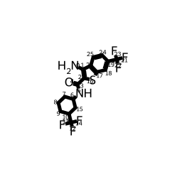 Nc1c(C(=O)NC2CCCC(C(F)(F)F)C2)sc2cc(C(F)(F)F)ccc12